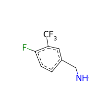 [NH]Cc1ccc(F)c(C(F)(F)F)c1